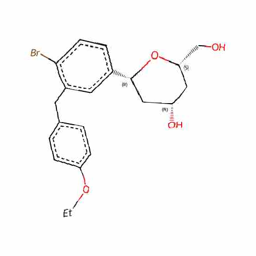 CCOc1ccc(Cc2cc([C@H]3C[C@@H](O)C[C@@H](CO)O3)ccc2Br)cc1